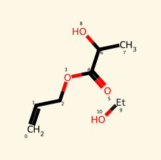 C=CCOC(=O)C(C)O.CCO